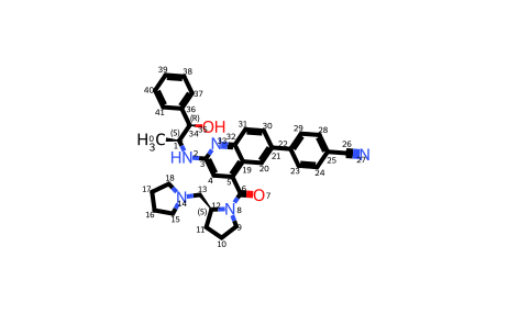 C[C@H](Nc1cc(C(=O)N2CCC[C@H]2CN2CCCC2)c2cc(-c3ccc(C#N)cc3)ccc2n1)[C@H](O)c1ccccc1